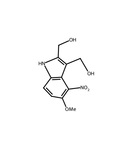 COc1ccc2[nH]c(CO)c(CO)c2c1[N+](=O)[O-]